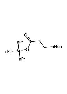 CCCCCCCCCCCC(=O)[O][Sn]([CH2]CC)([CH2]CC)[CH2]CC